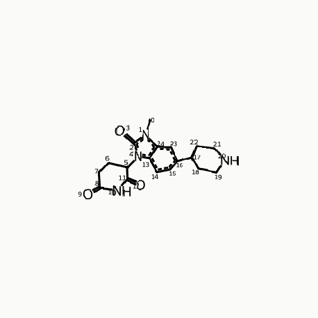 Cn1c(=O)n(C2CCC(=O)NC2=O)c2ccc(C3CCNCC3)cc21